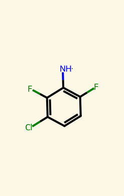 [NH]c1c(F)ccc(Cl)c1F